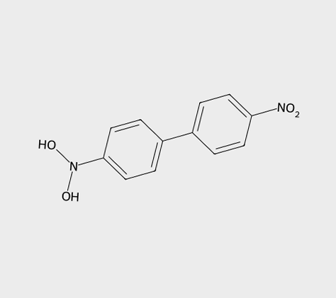 O=[N+]([O-])c1ccc(-c2ccc(N(O)O)cc2)cc1